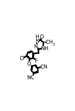 C[C@H]1NC(Cc2ccc(Cl)c(Oc3cc(C#N)cc(C#N)c3)c2F)=NNC1=O